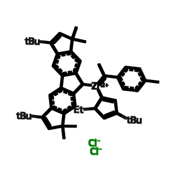 CCC1C=C(C(C)(C)C)C=[C]1/[Zr+2](=[C](/C)c1ccc(C)cc1)[CH]1c2cc3c(cc2-c2cc4c(cc21)C(C)(C)C=C4C(C)(C)C)C(C(C)(C)C)=CC3(C)C.[Cl-].[Cl-]